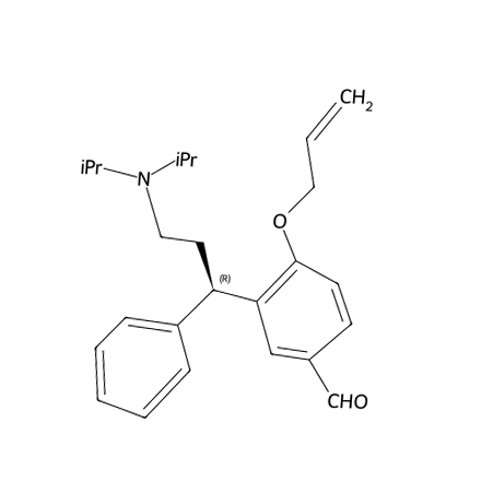 C=CCOc1ccc(C=O)cc1[C@H](CCN(C(C)C)C(C)C)c1ccccc1